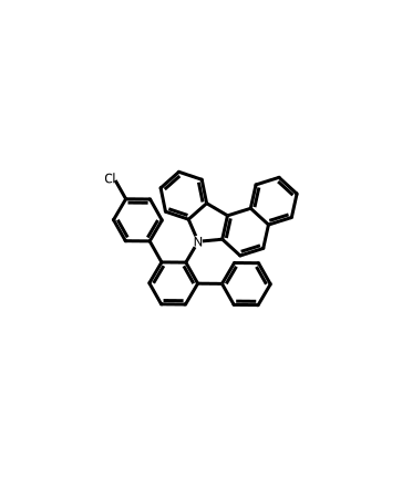 Clc1ccc(-c2cccc(-c3ccccc3)c2-n2c3ccccc3c3c4ccccc4ccc32)cc1